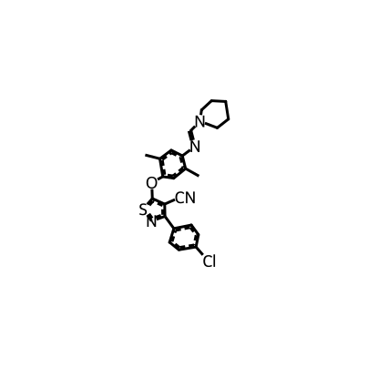 Cc1cc(Oc2snc(-c3ccc(Cl)cc3)c2C#N)c(C)cc1/N=C/N1CCCCC1